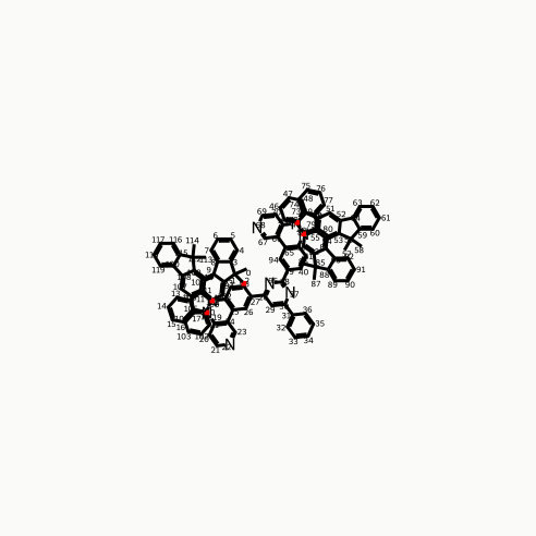 CC1(C)c2ccccc2-c2cc3c4ccccc4n(-c4ccncc4-c4cc(-c5cc(-c6ccccc6)nc(-c6ccc(-n7c8ccccc8c8cc9c(cc87)C(C)(C)c7ccccc7-9)c(-c7cnccc7-n7c8ccccc8c8cc9c(cc87)C(C)(C)c7ccccc7-9)c6)n5)ccc4-n4c5ccccc5c5cc6c(cc54)C(C)(C)c4ccccc4-6)c3cc21